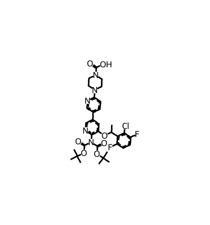 CC(Oc1cc(-c2ccc(N3CCN(C(=O)O)CC3)nc2)cnc1N(C(=O)OC(C)(C)C)C(=O)OC(C)(C)C)c1c(F)ccc(F)c1Cl